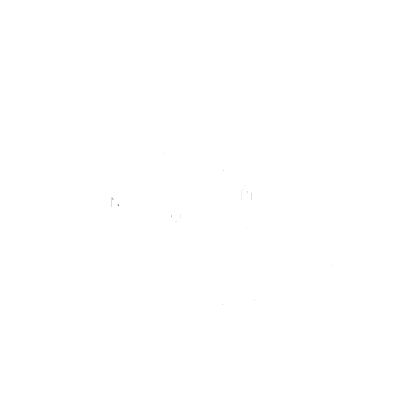 CN(C)c1ccccc1C(=O)Oc1ccc2ccccc2c1Br